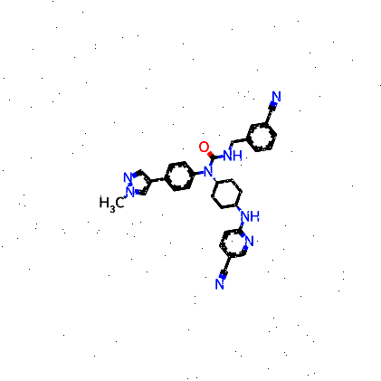 Cn1cc(-c2ccc(N(C(=O)NCc3cccc(C#N)c3)[C@H]3CC[C@H](Nc4ccc(C#N)cn4)CC3)cc2)cn1